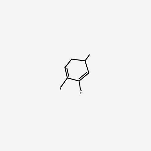 CC1C=C(F)C(I)=CC1